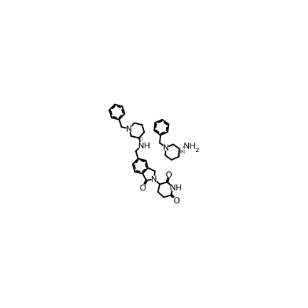 N[C@@H]1CCCN(Cc2ccccc2)C1.O=C1CCC(N2Cc3cc(CN[C@@H]4CCCN(Cc5ccccc5)C4)ccc3C2=O)C(=O)N1